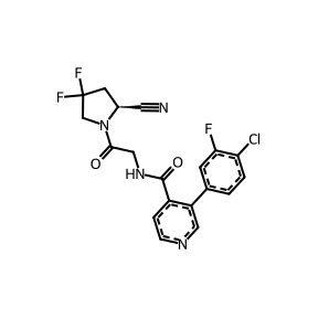 N#C[C@@H]1CC(F)(F)CN1C(=O)CNC(=O)c1ccncc1-c1ccc(Cl)c(F)c1